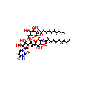 CCCCCCCCCC(=O)NC1C(OC2OC(C[C@@H](O)[C@H]3O[C@@H](n4ccc(=O)[nH]c4=O)[C@H](O)[C@@H]3O)C(O)C(O)C2NC(=O)CCCCCCCCC)OC(CO)C(O)C1O